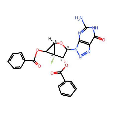 Nc1nc2c(nnn2[C@@H]2O[C@@H]3C(OC(=O)c4ccccc4)[C@]3(F)[C@H]2OC(=O)c2ccccc2)c(=O)[nH]1